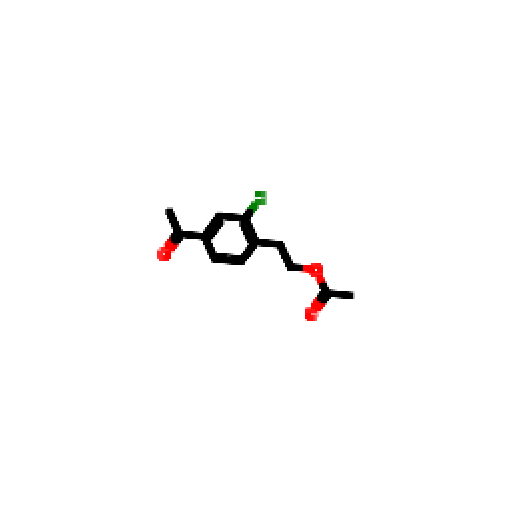 CC(=O)OCCc1ccc(C(C)=O)cc1Cl